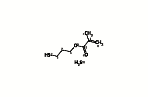 C=C(C)C(=O)OCCCS.S